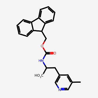 Cc1cncc(CC(NC(=O)OCC2c3ccccc3-c3ccccc32)C(=O)O)c1